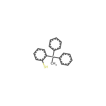 C[Si](c1ccccc1)(c1ccccc1)c1ccccc1S